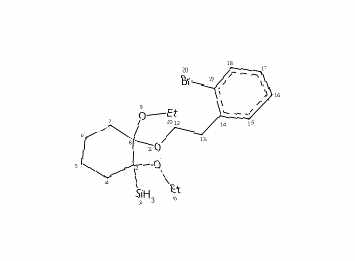 CCOC1([SiH3])CCCCC1(OCC)OCCc1ccccc1Br